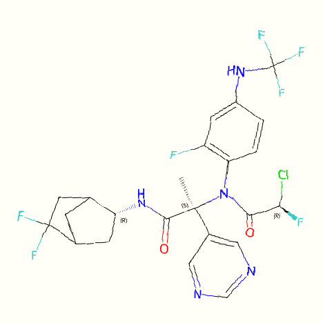 C[C@@](C(=O)N[C@@H]1CC2CC1CC2(F)F)(c1cncnc1)N(C(=O)[C@H](F)Cl)c1ccc(NC(F)(F)F)cc1F